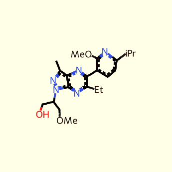 CCc1nc2c(nc1-c1ccc(C(C)C)nc1OC)c(C)nn2C(CO)COC